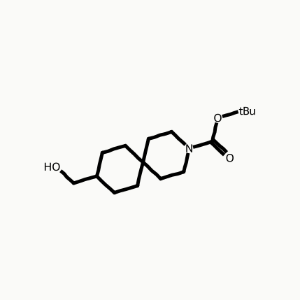 CC(C)(C)OC(=O)N1CCC2(CCC(CO)CC2)CC1